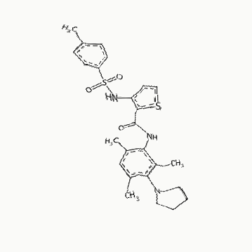 Cc1ccc(S(=O)(=O)Nc2ccsc2C(=O)Nc2c(C)cc(C)c(N3CCCC3)c2C)cc1